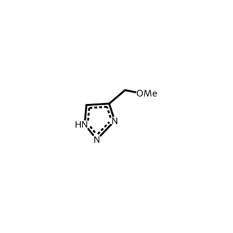 COCc1c[nH]nn1